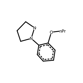 CCCOc1ccccc1N1CCC[N]1